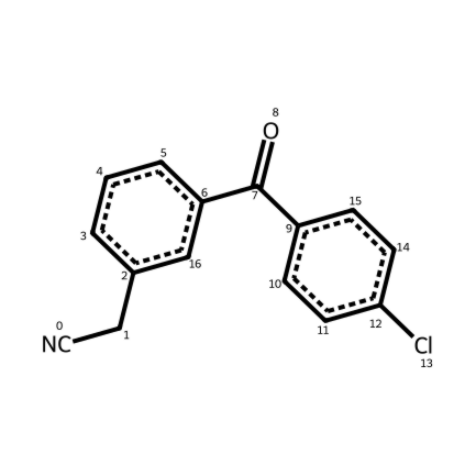 N#CCc1cccc(C(=O)c2ccc(Cl)cc2)c1